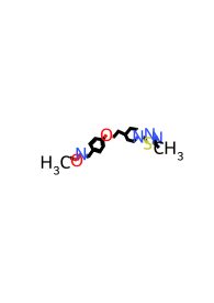 CCON=Cc1ccc(OCCC2CCN(c3nnc(C)s3)CC2)cc1